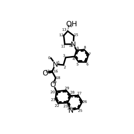 CN(CCc1ccccc1N1CC[C@H](O)C1)C(=O)COc1ccc2ncccc2c1